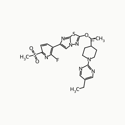 CCc1cnc(N2CCC([C@H](C)Oc3nn4cc(-c5ccc(S(C)(=O)=O)nc5F)nc4s3)CC2)nc1